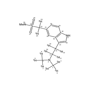 [2H]C([2H])([2H])N(C([2H])([2H])[2H])C([2H])([2H])C([2H])([2H])c1c[nH]c2ccc(C([2H])([2H])S(=O)(=O)NC)cc12